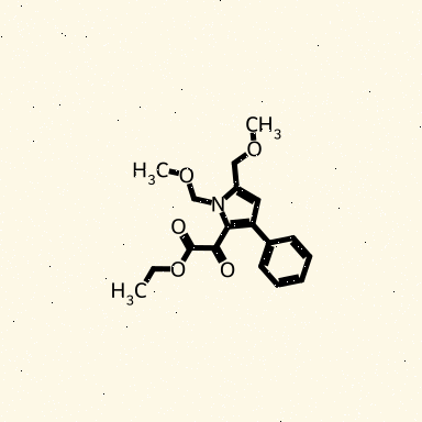 CCOC(=O)C(=O)c1c(-c2ccccc2)cc(COC)n1COC